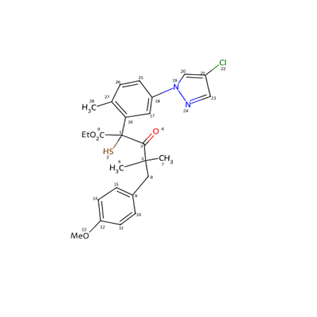 CCOC(=O)C(S)(C(=O)C(C)(C)Cc1ccc(OC)cc1)c1cc(-n2cc(Cl)cn2)ccc1C